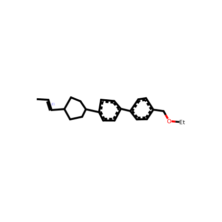 C/C=C/C1CCC(c2ccc(-c3ccc(COCC)cc3)cc2)CC1